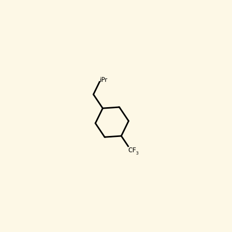 CC(C)CC1CCC(C(F)(F)F)CC1